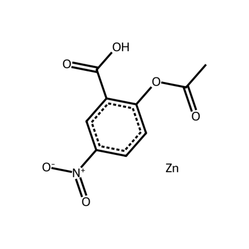 CC(=O)Oc1ccc([N+](=O)[O-])cc1C(=O)O.[Zn]